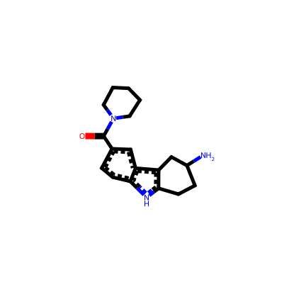 NC1CCc2[nH]c3ccc(C(=O)N4CCCCC4)cc3c2C1